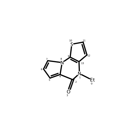 CCn1c(=O)c2cccn2c2sccc21